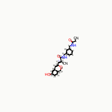 N#CCC(=O)NCc1cccc(CNC(=O)/C(C#N)=C/C2=Cc3cc(O)ccc3CO2)c1